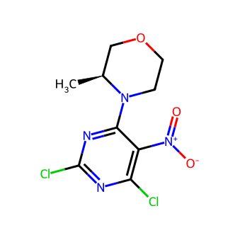 C[C@H]1COCCN1c1nc(Cl)nc(Cl)c1[N+](=O)[O-]